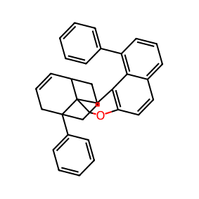 C1=CC2CCCC(c3ccccc3)(C1)C21COc2ccc3cccc(-c4ccccc4)c3c2C1